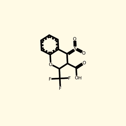 O=C(O)C1C(=S(=O)=O)c2ccccc2OC1C(F)(F)F